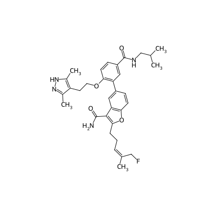 CC(=CCCc1oc2ccc(-c3cc(C(=O)NCC(C)C)ccc3OCCc3c(C)n[nH]c3C)cc2c1C(N)=O)CF